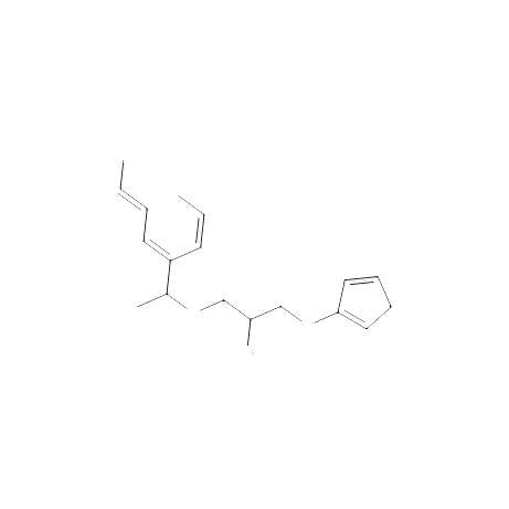 C\C=C/C(=C\C=C\CC)C(C)OCC(O)COC1=CCC=C1